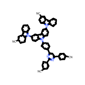 N#Cc1ccc(-c2cc(-c3ccc(-n4c5ccc(-n6c7ccccc7c7cc(C#N)ccc76)cc5c5cc(-n6c7ccccc7c7cc(C#N)ccc76)ccc54)cc3)nc(-c3ccc(C#N)cc3)n2)cc1